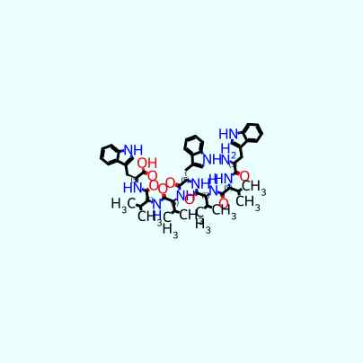 CC(C)[C@H](NC(=O)[C@H](Cc1c[nH]c2ccccc12)NC(=O)[C@@H](NC(=O)[C@@H](NC(=O)[C@@H](N)Cc1c[nH]c2ccccc12)C(C)C)C(C)C)C(=O)N[C@H](C(=O)N[C@@H](Cc1c[nH]c2ccccc12)C(=O)O)C(C)C